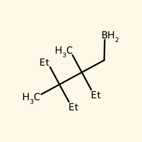 BCC(C)(CC)C(C)(CC)CC